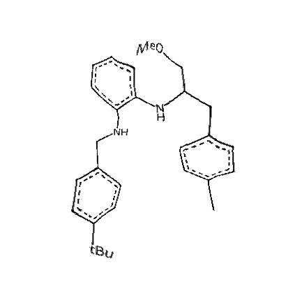 COCC(Cc1ccc(C)cc1)Nc1ccccc1NCc1ccc(C(C)(C)C)cc1